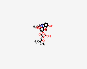 CC(C)C(=O)C[C@@H](OC(=O)O)C(=O)OC1=CC[C@@]2(O)[C@H]3Cc4ccc(O)c5c4[C@@]2(CCN3C)[C@H]1O5